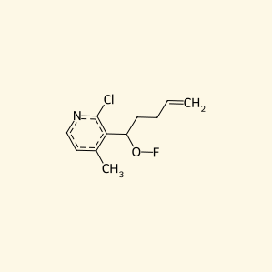 C=CCCC(OF)c1c(C)ccnc1Cl